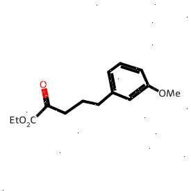 CCOC(=O)C(=O)CCCc1cccc(OC)c1